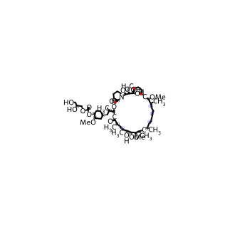 CO[C@H]1C[C@@H]2CC[C@@H](C)[C@@](O)(O2)C(=O)C(=O)N2CCCC[C@H]2C(=O)O[C@H]([C@H](C)C[C@@H]2CC[C@@H](OC(=O)OC[C@H](O)CO)[C@H](OC)C2)CC(=O)[C@H](C)/C=C(\C)[C@@H](O)[C@@H](OC)C(=O)[C@H](C)C[C@H](C)/C=C/C=C/C=C/1C